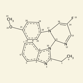 CCc1nc2ccccc2n1C1N=CC(F)=CN1c1ccc(OC)cc1